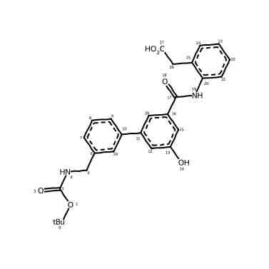 CC(C)(C)OC(=O)NCc1cccc(-c2cc(O)cc(C(=O)Nc3ccccc3CC(=O)O)c2)c1